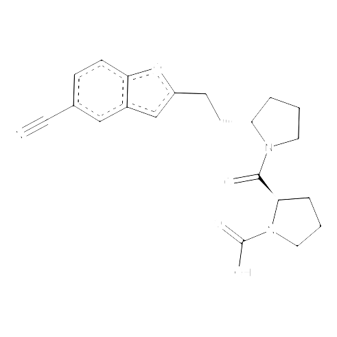 N#Cc1ccc2oc(CC[C@@H]3CCCN3C(=O)[C@H]3CCCN3C(=O)O)cc2c1